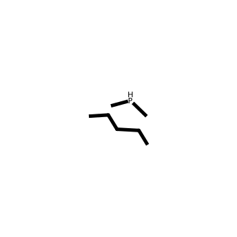 CCCCC.CPC